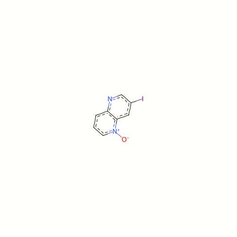 [O-][n+]1cccc2ncc(I)cc21